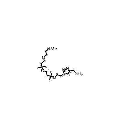 CNCCOCCC(C)(C)OCCC(C)(C)OCCn1cc(CN)nn1